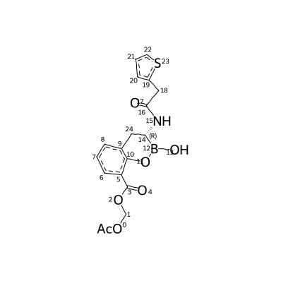 CC(=O)OCOC(=O)c1cccc2c1OB(O)[C@@H](NC(=O)Cc1cccs1)C2